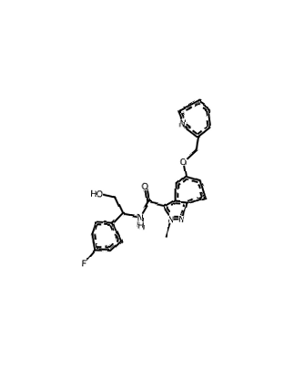 Cn1nc2ccc(OCc3ccccn3)cc2c1C(=O)NC(CO)c1ccc(F)cc1